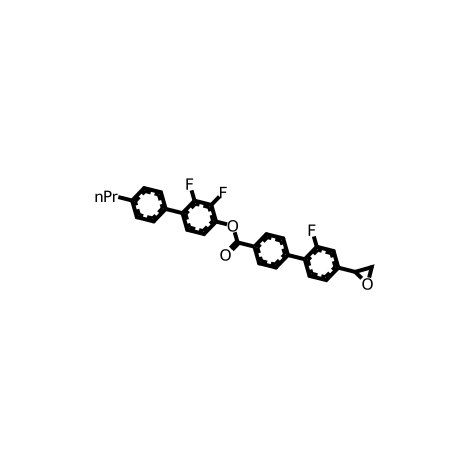 CCCc1ccc(-c2ccc(OC(=O)c3ccc(-c4ccc(C5CO5)cc4F)cc3)c(F)c2F)cc1